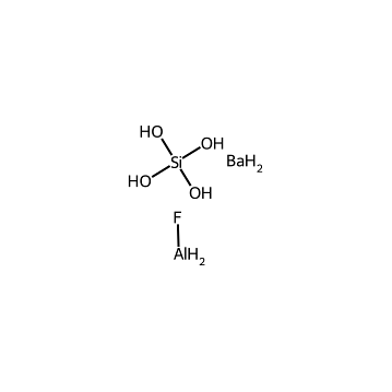 O[Si](O)(O)O.[BaH2].[F][AlH2]